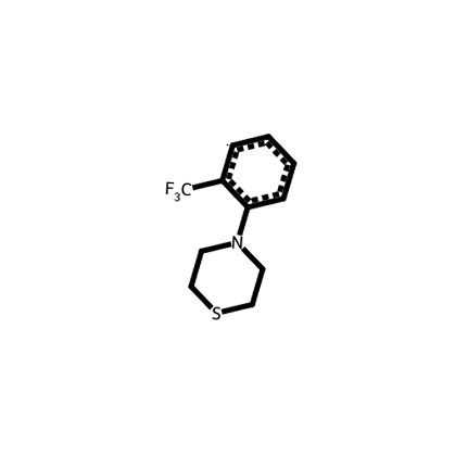 FC(F)(F)c1[c]cccc1N1CCSCC1